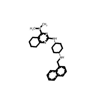 CN(C)c1nc(N[C@H]2CC[C@@H](NCc3cccc4ccccc34)CC2)nc2c1CCCC2